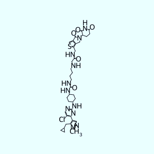 Cn1ncc(-c2nc(N[C@H]3CC[C@H](NC(=O)NCCCCNCC(=O)NCc4scc5c4CN(C4CCC(=O)NC4=O)C5=O)CC3)ncc2Cl)c1CC1CC1